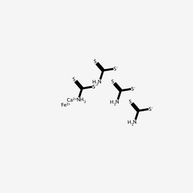 NC(=S)[S-].NC(=S)[S-].NC(=S)[S-].NC(=S)[S-].[Ca+2].[Fe+2]